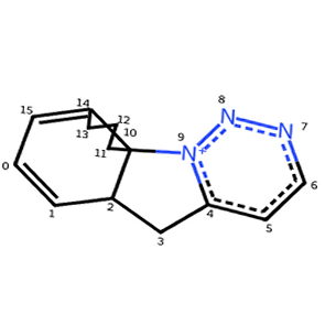 C1=CC2Cc3ccnn[n+]3C23CCCC3=C1